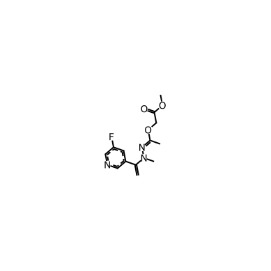 C=C(c1cncc(F)c1)N(C)/N=C(\C)OCC(=O)OC